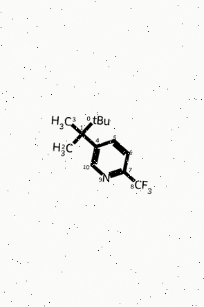 CC(C)(C)C(C)(C)c1ccc(C(F)(F)F)nc1